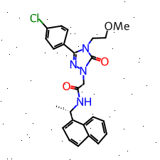 COCCn1c(-c2ccc(Cl)cc2)nn(CC(=O)N[C@@H](C)c2cccc3ccccc23)c1=O